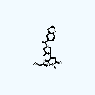 CSCc1cn2c(n1)c(N1CCN(C(C)c3ccc4nccnc4c3)CC1C)cc(=O)n2C